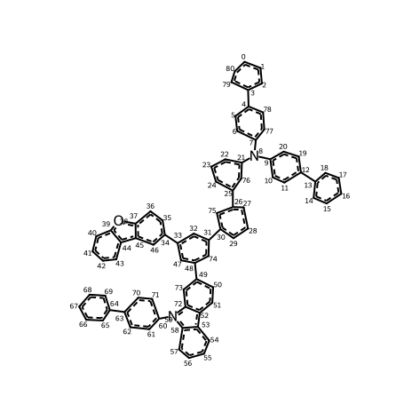 c1ccc(-c2ccc(N(c3ccc(-c4ccccc4)cc3)c3cccc(-c4cccc(-c5cc(-c6ccc7oc8ccccc8c7c6)cc(-c6ccc7c8ccccc8n(-c8ccc(-c9ccccc9)cc8)c7c6)c5)c4)c3)cc2)cc1